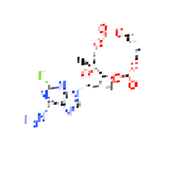 C#C[C@@]12COC(=O)OCCCOC(=O)O[C@H]1C[C@H](n1cnc3c(N)nc(F)nc31)O2